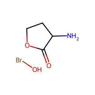 NC1CCOC1=O.OBr